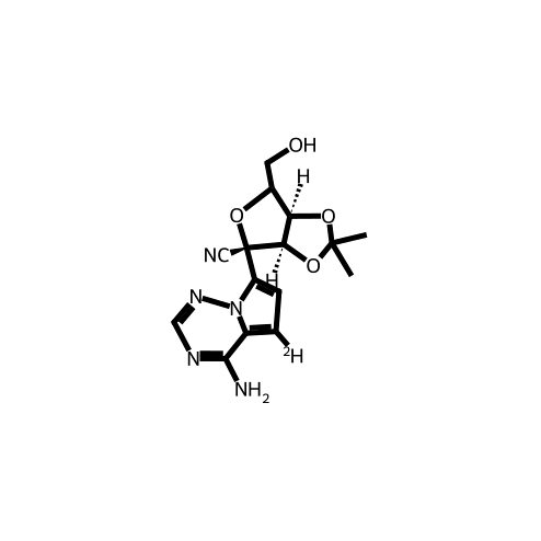 [2H]c1cc([C@]2(C#N)OC(CO)[C@H]3OC(C)(C)O[C@H]32)n2ncnc(N)c12